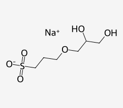 O=S(=O)([O-])CCCOCC(O)CO.[Na+]